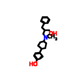 CN(CC(CO)Cc1ccccc1)C1CCC(c2ccc(O)cc2)CC1